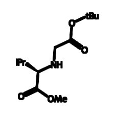 COC(=O)[C@H](NCC(=O)OC(C)(C)C)C(C)C